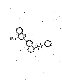 CC(C)(C)c1cc(-c2ccc3c(C(C)(C)C(C)(C)c4ccncc4)ccnc3c2)nc2ccccc12